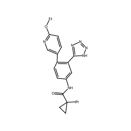 CCOc1ccc(-c2ccc(NC(=O)C3(C(C)C)CC3)cc2-c2nnn[nH]2)cn1